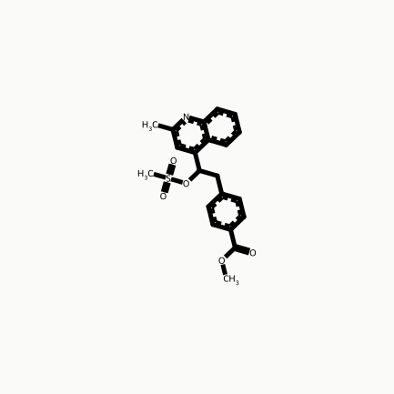 COC(=O)c1ccc(CC(OS(C)(=O)=O)c2cc(C)nc3ccccc23)cc1